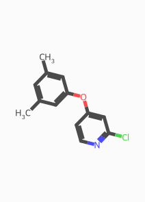 Cc1cc(C)cc(Oc2ccnc(Cl)c2)c1